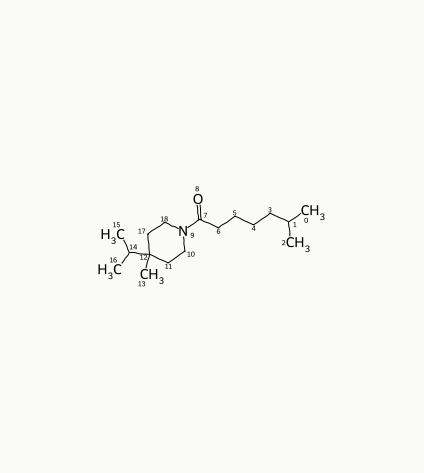 CC(C)CCCCC(=O)N1CCC(C)(C(C)C)CC1